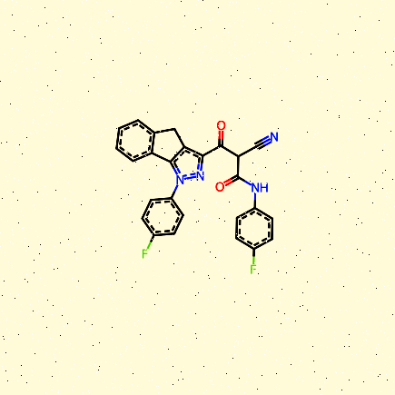 N#CC(C(=O)Nc1ccc(F)cc1)C(=O)c1nn(-c2ccc(F)cc2)c2c1Cc1ccccc1-2